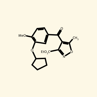 CCOC(=O)c1noc(C)c1C(=O)c1ccc(OC)c(OC2CCCC2)c1